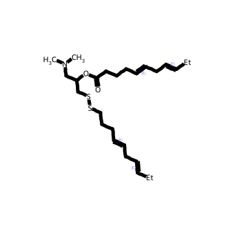 CC/C=C/C/C=C/CCCSSCC(CN(C)C)OC(=O)CCC/C=C/C/C=C/CC